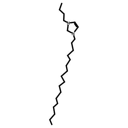 CCCCCCCCCCCCCCCCCN1C=CN(CCCC)C1